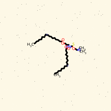 CCCCCCCC/C=C\CCCCCCCC(=O)OCC(CNC(=S)OCCN(C)C)OC(=O)CCCCCCC/C=C\CCCCCCCC